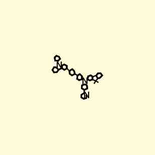 CC1(C)c2ccccc2-c2ccc(N(c3ccc(-c4ccc(-c5ccc6c(c5)c5ccccc5n6-c5ccccc5)cc4)cc3)c3ccc(-c4ccccn4)cc3)cc21